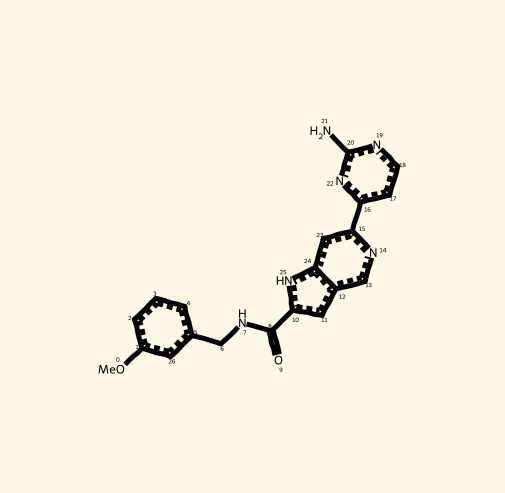 COc1cccc(CNC(=O)c2cc3cnc(-c4ccnc(N)n4)cc3[nH]2)c1